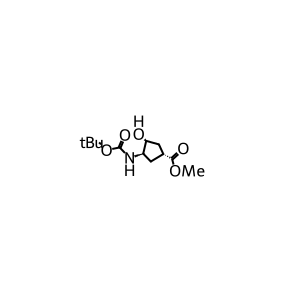 COC(=O)[C@H]1C[C@H](O)[C@H](NC(=O)OC(C)(C)C)C1